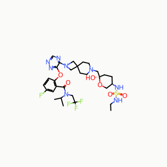 CCNS(=O)(=O)N[C@@H]1CC[C@](O)(CN2CCC3(CC2)CN(c2ncnnc2Oc2ccc(F)cc2C(=O)N(CC(F)(F)F)C(C)C)C3)OC1